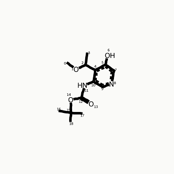 COC(C)c1c(O)cncc1NC(=O)OC(C)(C)C